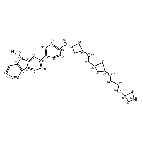 Cn1c2ccncc2c2ccc(-c3ccc(O[C@H]4C[C@H](OCC5CC(OCCOC6CNC6)C5)C4)nc3)cc21